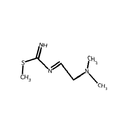 CSC(=N)N=CCN(C)C